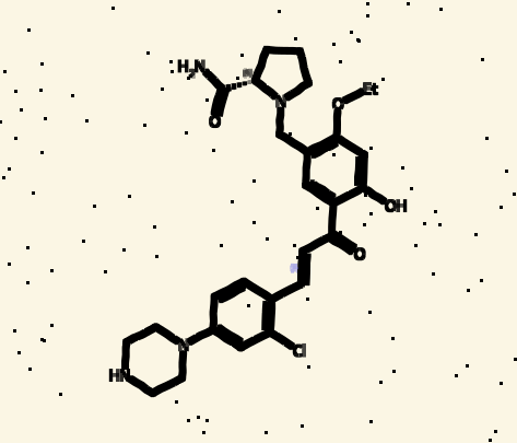 CCOc1cc(O)c(C(=O)/C=C/c2ccc(N3CCNCC3)cc2Cl)cc1CN1CCC[C@H]1C(N)=O